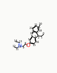 CC[C](c1ccc(OCCN(CC)CC)cc1)c1cc(C)ccc1C